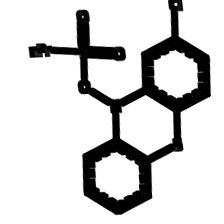 CCCS(=O)(=O)ON1c2ccccc2Sc2ccc(Cl)cc21